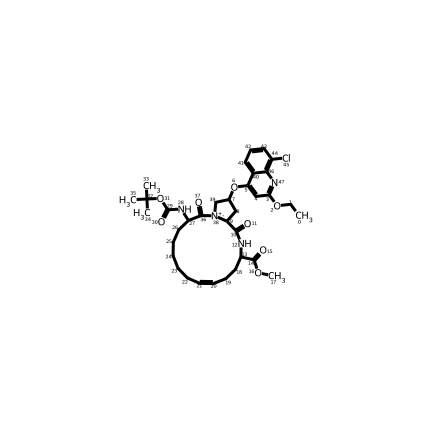 CCOc1cc(OC2CC3C(=O)NC(C(=O)OC)CCC=CCCCCCC(NC(=O)OC(C)(C)C)C(=O)[N+]3C2)c2cccc(Cl)c2n1